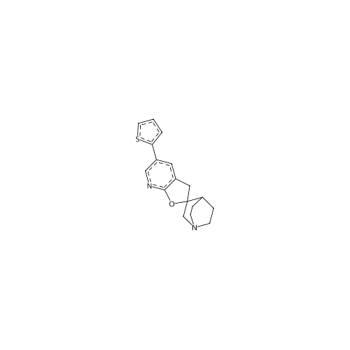 c1csc(-c2cnc3c(c2)CC2(CN4CCC2CC4)O3)c1